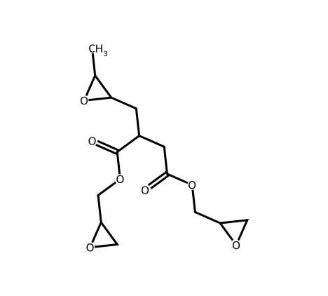 CC1OC1CC(CC(=O)OCC1CO1)C(=O)OCC1CO1